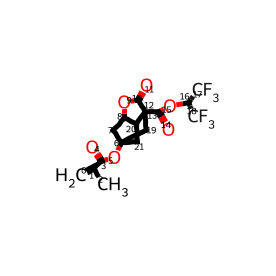 C=C(C)C(=O)OC12CC3OC(=O)C(C(=O)OC(C(F)(F)F)C(F)(F)F)(C1)C3C2